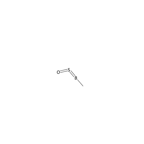 CB=S=O